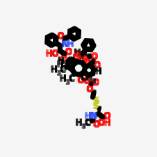 CC(=O)N[C@@H](CSSCCOC(=O)O[C@H]1C[C@H]2OC[C@@]2(OC(C)=O)C2[C@H](OC(=O)c3ccccc3)[C@]3(O)C[C@H](OC(=O)[C@H](O)[C@@H](NC(=O)c4ccccc4)c4ccccc4)C(C)=C([C@@H](C)C(=O)[C@@]21C)C3(C)C)C(=O)O